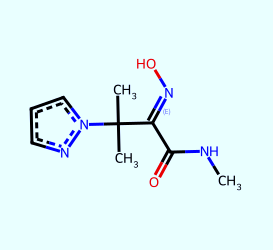 CNC(=O)/C(=N/O)C(C)(C)n1cccn1